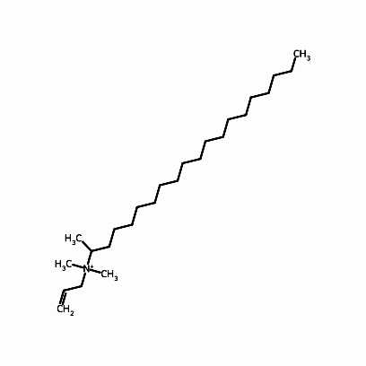 C=CC[N+](C)(C)C(C)CCCCCCCCCCCCCCCCCC